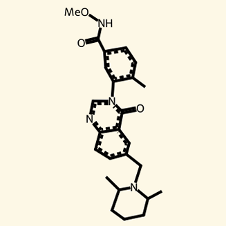 CONC(=O)c1ccc(C)c(-n2cnc3ccc(CN4C(C)CCCC4C)cc3c2=O)c1